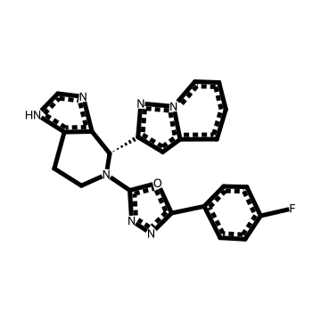 Fc1ccc(-c2nnc(N3CCc4[nH]cnc4[C@@H]3c3cc4ccccn4n3)o2)cc1